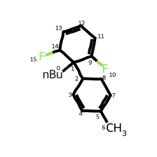 CCCCC1(C2C=CC(C)=CC2)C(F)=CC=CC1F